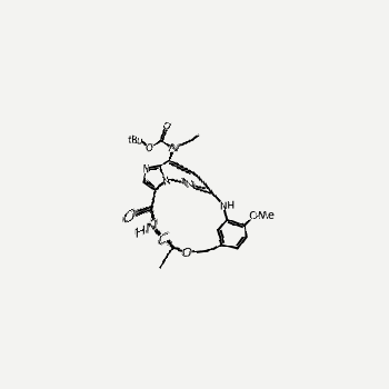 COc1ccc2cc1Nc1cc(N(C)C(=O)OC(C)(C)C)c3ncc(n3n1)C(=O)NCC(C)OC2